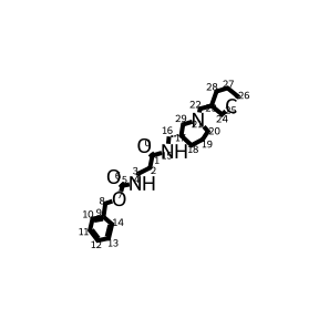 O=C(CCNC(=O)OCc1ccccc1)NC[C@H]1CCCN(CC2CCCCC2)C1